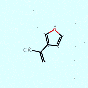 C=C(C=O)c1ccoc1